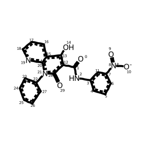 O=C(Nc1cccc([N+](=O)[O-])c1)c1c(O)c2cccnc2n(-c2ccccc2)c1=O